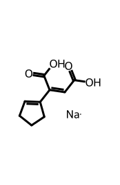 O=C(O)C=C(C(=O)O)C1=CCCC1.[Na]